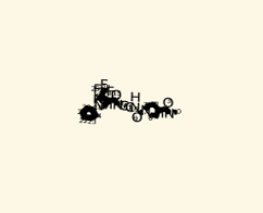 CNC(=O)C1CCN(C(=O)NCCNC(=O)c2cn(-c3ccccc3)nc2C(F)(F)F)CC1